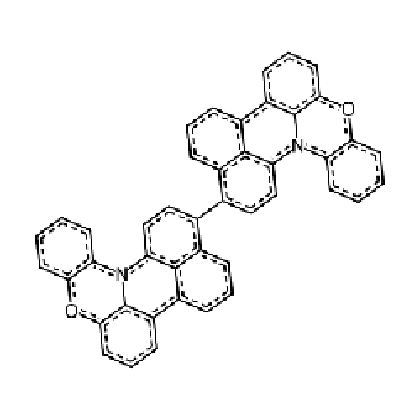 c1ccc2c(c1)oc1cccc3c1-n2c1ccc(-c2ccc4c5c2cccc5c2cccc5oc6ccccc6n4-c52)c2cccc3c21